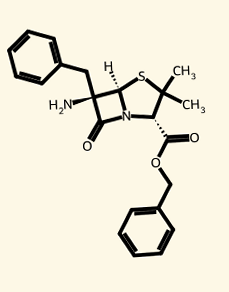 CC1(C)S[C@H]2N(C(=O)[C@]2(N)Cc2ccccc2)[C@H]1C(=O)OCc1ccccc1